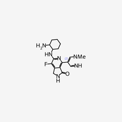 CN/C=C(\C=N)c1nc(NC2CCCCC2N)c(F)c2c1C(=O)NC2